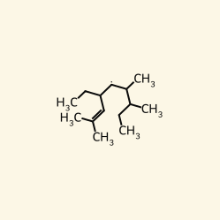 CCC([CH]C(C)C(C)CC)C=C(C)C